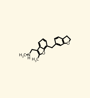 CNCc1c(C)oc2c(Cc3ccc4c(c3)OCC4)cccc12